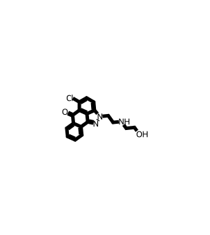 O=C1c2ccccc2-c2nn(CCNCCO)c3ccc(Cl)c1c23